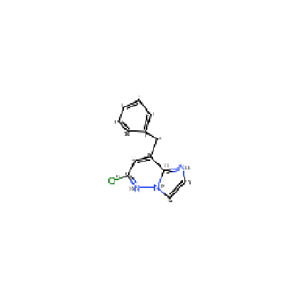 Clc1cc(Cc2ccccc2)c2nccn2n1